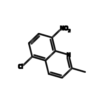 Cc1ccc2c(Cl)ccc([N+](=O)[O-])c2n1